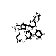 NCC[C@H]1CN=Cc2cc(-c3cccc(OC(F)(F)F)c3)c(-c3cccc(-c4ccccc4)c3)n21